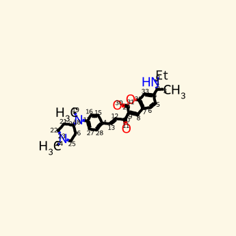 CCNC(C)c1ccc2cc(C(=O)C=Cc3ccc(N(C)C4CCN(C)CC4)cc3)c(=O)oc2c1